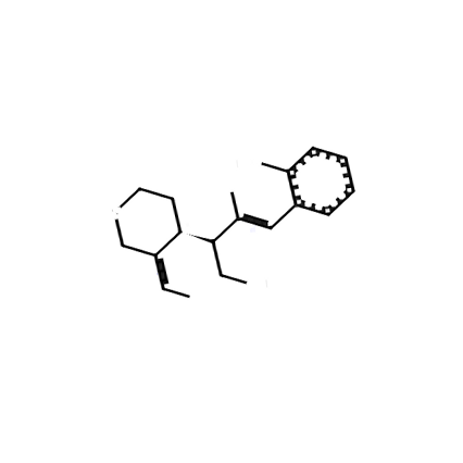 C/C=C1/CNCC[C@H]1C(CO)/C(C)=C/c1ccccc1C